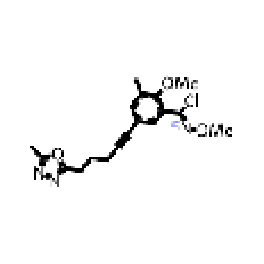 CO/N=C(\Cl)c1cc(C#CCCCc2nnc(C)o2)cc(C)c1OC